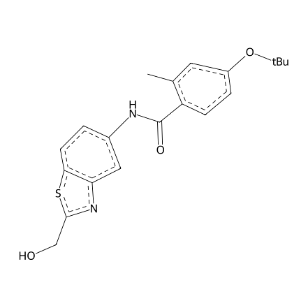 Cc1cc(OC(C)(C)C)ccc1C(=O)Nc1ccc2sc(CO)nc2c1